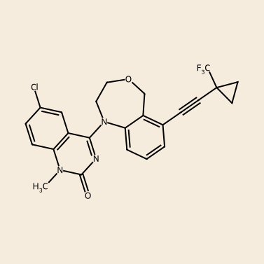 Cn1c(=O)nc(N2CCOCc3c(C#CC4(C(F)(F)F)CC4)cccc32)c2cc(Cl)ccc21